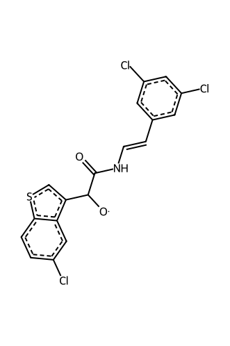 [O]C(C(=O)NC=Cc1cc(Cl)cc(Cl)c1)c1csc2ccc(Cl)cc12